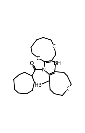 O=C1C2CCCCCCCC2BC2CCCCCCCC3=C2N1C1=C(B3)CCCCCCCC1